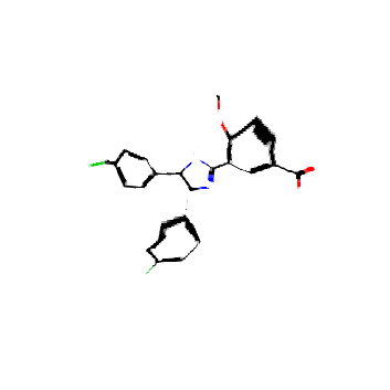 COc1ccc(C(=O)O)cc1C1=N[C@H](c2ccc(Cl)cc2)C(c2ccc(Cl)cc2)N1